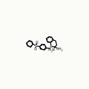 NC1(N)CCc2ccccc2N1Cc1ccc(S(=O)(=O)c2ccccc2)cc1